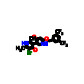 Cc1[nH]c(C)c(-c2c[nH]c(OCc3cc(C(F)(F)F)cc(C(F)(F)F)c3)cc2=O)c(=O)c1Br